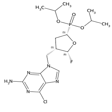 CC(C)OP(=O)(OC(C)C)[C@H]1C[C@@H](Cn2cnc3c(Cl)nc(N)nc32)[C@@H](F)O1